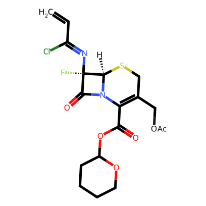 C=CC(Cl)=N[C@]1(F)C(=O)N2C(C(=O)OC3CCCCO3)=C(COC(C)=O)CS[C@@H]21